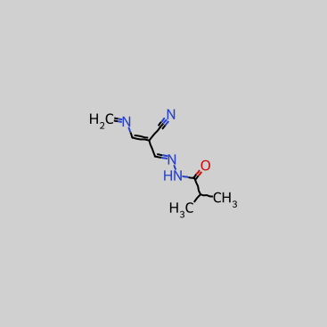 C=NC=C(C#N)C=NNC(=O)C(C)C